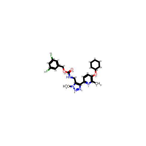 Cc1nc(-c2nnn(C)c2CNC(=O)OCc2cc(F)cc(F)c2)ccc1OC1CCCCC1